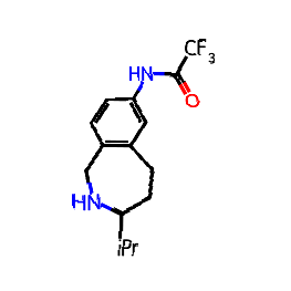 CC(C)C1CCc2cc(NC(=O)C(F)(F)F)ccc2CN1